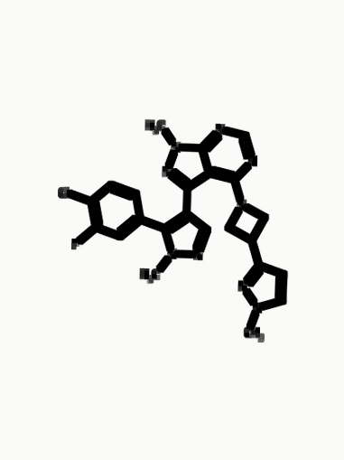 Cn1ccc(C2CN(c3ncnc4c3c(-c3cnn(C)c3-c3ccc(Cl)c(F)c3)nn4C)C2)n1